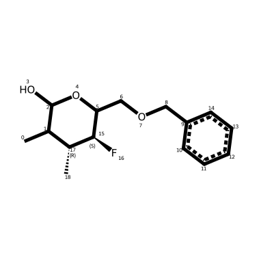 CC1C(O)OC(COCc2ccccc2)[C@@H](F)[C@@H]1C